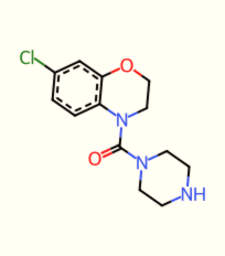 O=C(N1CCNCC1)N1CCOc2cc(Cl)ccc21